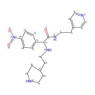 O=C(NCCc1ccncc1)C(NCCC1CCNCC1)c1ccc([N+](=O)[O-])cc1